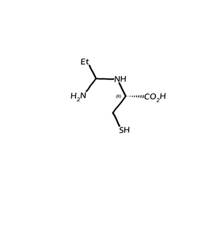 CCC(N)N[C@@H](CS)C(=O)O